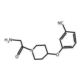 N#Cc1cccc(OC2CCN(C(=O)CN)CC2)c1